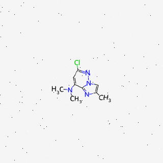 Cc1cn2nc(Cl)cc(N(C)C)c2n1